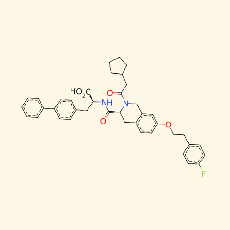 O=C(O)[C@H](Cc1ccc(-c2ccccc2)cc1)NC(=O)[C@@H]1Cc2ccc(OCCc3ccc(F)cc3)cc2CN1C(=O)CC1CCCC1